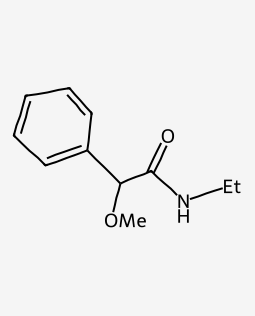 CCNC(=O)C(OC)c1ccccc1